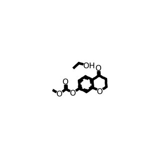 CCO.COC(=O)Oc1ccc2c(c1)OCCC2=O